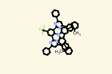 Cc1ccccc1-c1ccc2c(c1)c1cc(-c3ccccc3C)ccc1n2-c1c(-c2nc(-c3ccccc3)cc(-c3ccccc3)n2)cc(C(F)(F)F)cc1-c1nc(-c2ccccc2)cc(-c2ccccc2)n1